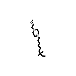 CCC(C)(C)CCCCCCN1CCN(CCOC)CC1